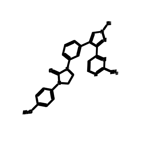 CCn1cc(-c2cccc(N3CCN(c4ccc(OC)cc4)C3=O)c2)c(-c2ccnc(N)n2)n1